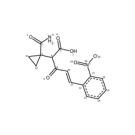 NC(=O)C1(C(C(=O)O)C(=O)C=Cc2ccccc2[N+](=O)[O-])CC1